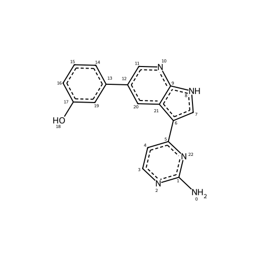 Nc1nccc(-c2c[nH]c3ncc(-c4cccc(O)c4)cc23)n1